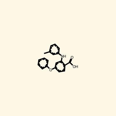 Cc1cccc(Nc2cc(Oc3ccccc3)ccc2C(=O)O)c1